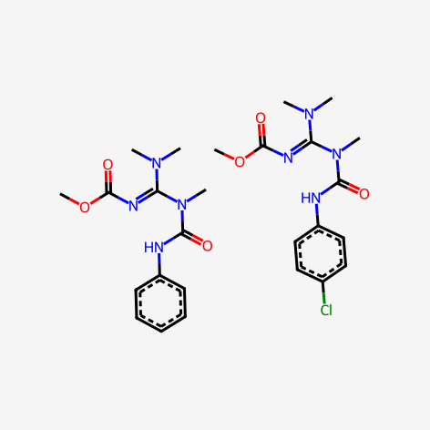 COC(=O)N=C(N(C)C)N(C)C(=O)Nc1ccc(Cl)cc1.COC(=O)N=C(N(C)C)N(C)C(=O)Nc1ccccc1